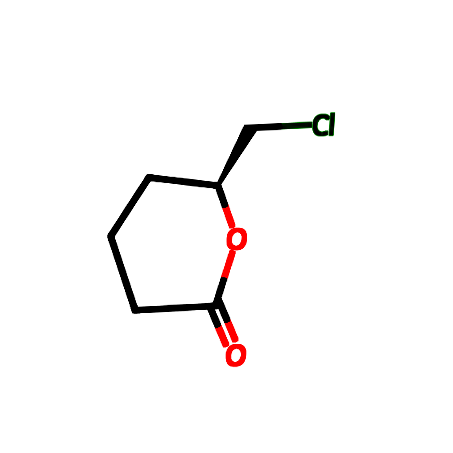 O=C1CCC[C@@H](CCl)O1